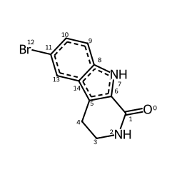 O=C1NCCc2c1[nH]c1ccc(Br)cc21